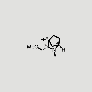 COC[C@@H]1[C@@H]2CC[C@@H](C2)N1C